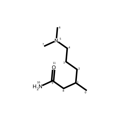 CC(CCCN(C)C)CC(N)=O